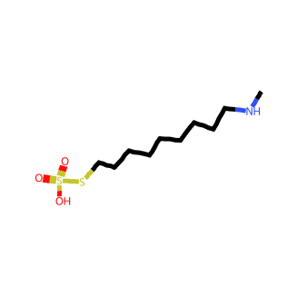 CNCCCCCCCCCSS(=O)(=O)O